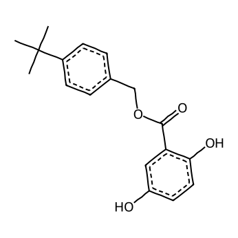 CC(C)(C)c1ccc(COC(=O)c2cc(O)ccc2O)cc1